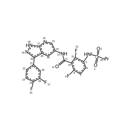 CCCS(=O)(=O)Nc1ccc(F)c(C(=O)Nc2cnc3[nH]nc(-c4ccc(F)c(F)c4)c3c2)c1F